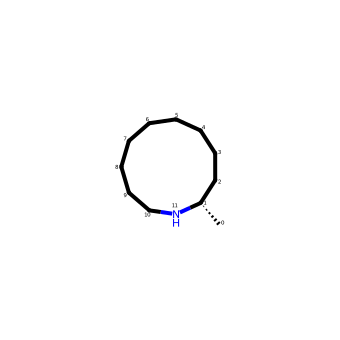 C[C@H]1CCCCCCCCCN1